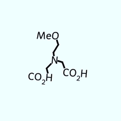 COCCN(CC(=O)O)CC(=O)O